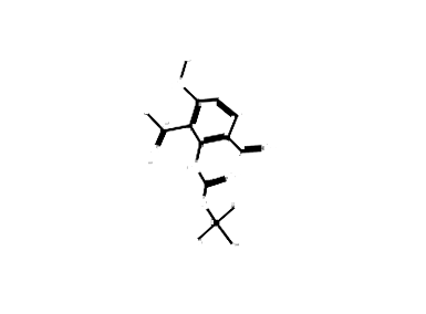 CSc1ccc(C=O)c(OC(=O)OC(C)(C)C)c1C(C)=O